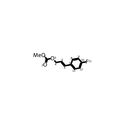 COC(=O)OC/C=C/c1ccc(F)cc1